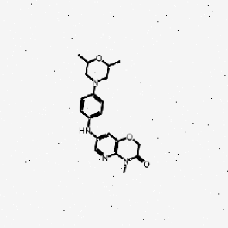 CC1CN(c2ccc(Nc3cnc4c(c3)OCC(=O)N4C)cc2)CC(C)O1